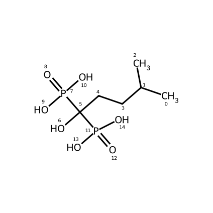 CC(C)CCC(O)(P(=O)(O)O)P(=O)(O)O